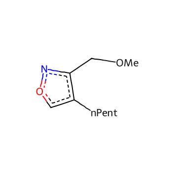 [CH2]OCc1nocc1CCCCC